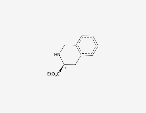 CCOC(=O)[C@@H]1Cc2ccccc2CN1